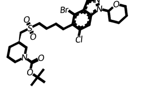 CC(C)(C)OC(=O)N1CCC[C@@H](CS(=O)(=O)CCCCc2c(Cl)cc3c(cnn3C3CCCCO3)c2Br)C1